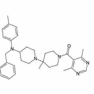 Cc1ccc(N(Cc2ccccc2)C2CCN(C3(C)CCN(C(=O)c4c(C)ncnc4C)CC3)CC2)cc1